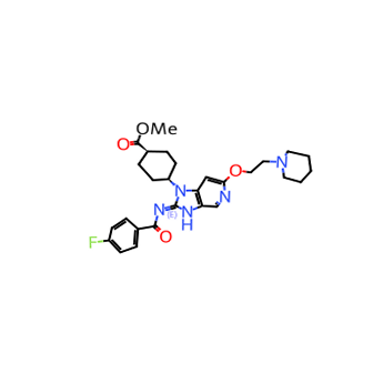 COC(=O)[C@H]1CC[C@@H](n2/c(=N/C(=O)c3ccc(F)cc3)[nH]c3cnc(OCCN4CCCCC4)cc32)CC1